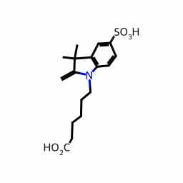 C=C1N(CCCCCC(=O)O)c2ccc(S(=O)(=O)O)cc2C1(C)C